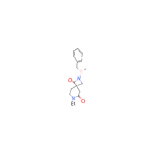 CCN1CCC2(CC1=O)CN(B(C)Cc1ccccc1)C2=O